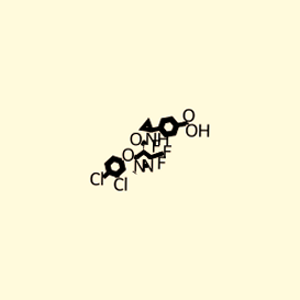 CN1N=C(C(F)(F)F)[C@@H](C(=O)NC2(c3ccc(C(=O)O)cc3)CC2)C1Oc1ccc(Cl)c(Cl)c1